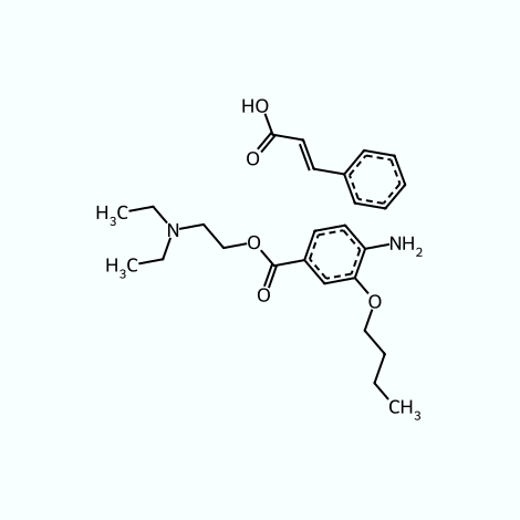 CCCCOc1cc(C(=O)OCCN(CC)CC)ccc1N.O=C(O)C=Cc1ccccc1